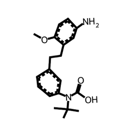 COc1ccc(N)cc1CCc1cccc(N(C(=O)O)C(C)(C)C)c1